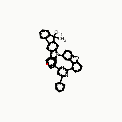 CC1(C)c2ccccc2-c2cc3c4ccccc4n(-c4ccc5oc6cccc(-c7nc(-c8ccccc8)cc(-c8ccccc8)n7)c6c5c4)c3cc21